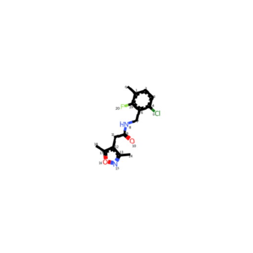 Cc1ccc(Cl)c(CNC(=O)Cc2c(C)noc2C)c1F